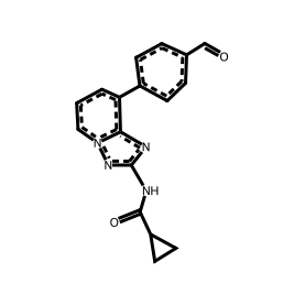 O=Cc1ccc(-c2cccn3nc(NC(=O)C4CC4)nc23)cc1